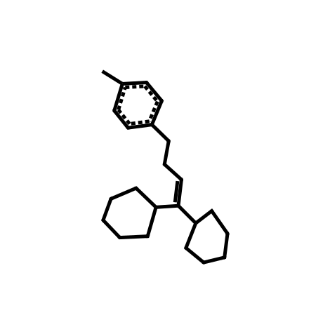 Cc1ccc(CCC=C(C2CCCCC2)C2CCCCC2)cc1